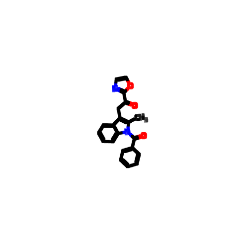 Cc1c(CC(=O)c2ncco2)c2ccccc2n1C(=O)c1ccccc1